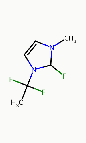 CN1C=CN(C(C)(F)F)C1F